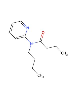 CCCCN(C(=O)CCC)c1ccccn1